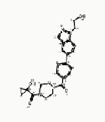 O=C(c1ccc(-c2ccc3c(cnn3CCO)c2)cc1)N1CCN(C(=O)C2(O)CC2)CC1